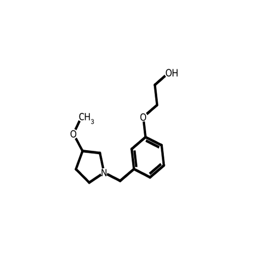 COC1CCN(Cc2cccc(OCCO)c2)C1